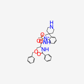 CS(=O)(=O)[N+]1(NC(=O)C(COCc2ccccc2)NC(=O)c2ccccc2)CC2(CCNCC2)c2ccccc21